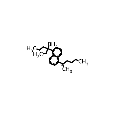 BC(CC)(CCC)c1cccc2c([C@@H](C)CCCC)cccc12